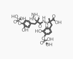 CC(Cc1ccc(OP(=O)(O)O)c(O)c1)(NNC(=O)C(C)(Cc1ccc(OP(=O)(O)O)c(O)c1)NN)C(=O)O